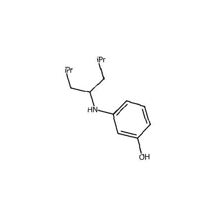 CC(C)CC(CC(C)C)Nc1cccc(O)c1